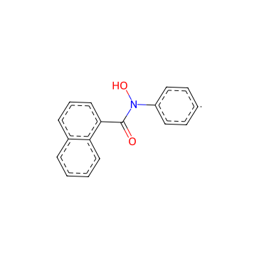 O=C(c1cccc2ccccc12)N(O)c1cc[c]cc1